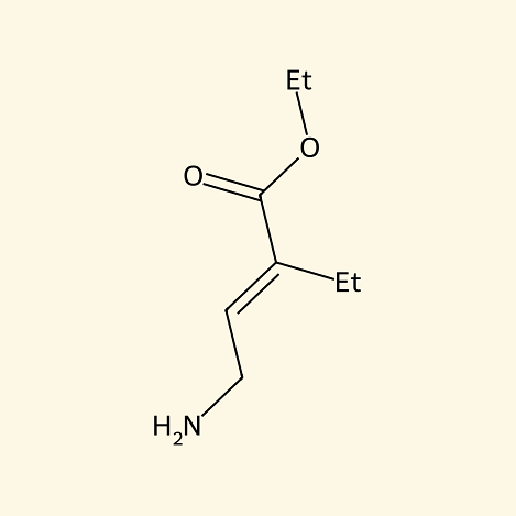 CCOC(=O)/C(=C/CN)CC